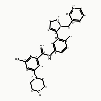 Cc1ccc(NC(=O)c2cc(F)cc(N3CCOCC3)c2)cc1C1=CCON1Cc1cccnc1